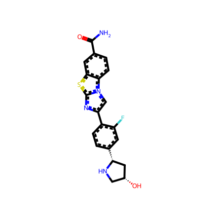 NC(=O)c1ccc2c(c1)sc1nc(-c3ccc([C@@H]4C[C@H](O)CN4)cc3F)cn12